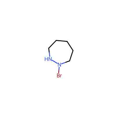 BrN1CCCCCN1